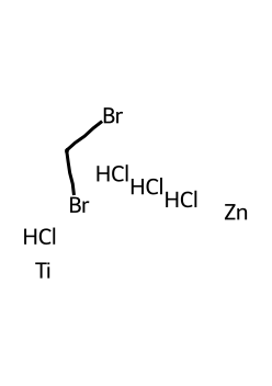 BrCBr.Cl.Cl.Cl.Cl.[Ti].[Zn]